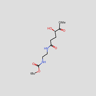 COC(=O)[C@H](O)CCC(=O)NCCNC(=O)OC(C)(C)C